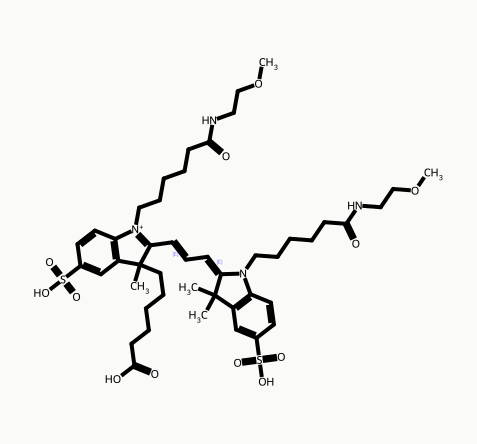 COCCNC(=O)CCCCCN1/C(=C/C=C/C2=[N+](CCCCCC(=O)NCCOC)c3ccc(S(=O)(=O)O)cc3C2(C)CCCCCC(=O)O)C(C)(C)c2cc(S(=O)(=O)O)ccc21